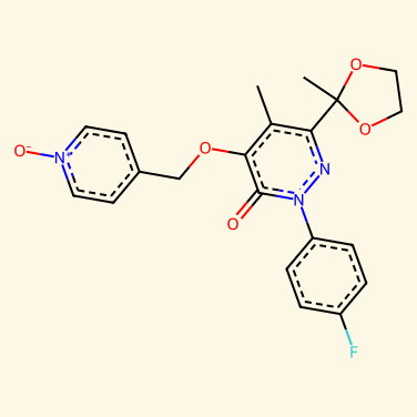 Cc1c(C2(C)OCCO2)nn(-c2ccc(F)cc2)c(=O)c1OCc1cc[n+]([O-])cc1